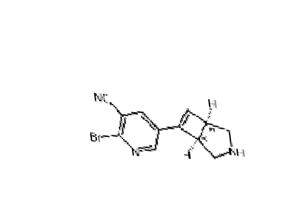 N#Cc1cc(C2=C[C@H]3CNC[C@@H]23)cnc1Br